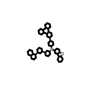 c1cc(-c2cccc(N(c3ccc(-c4ccc5c6ccccc6c6ccccc6c5c4)cc3)c3ccc4oc5ccccc5c4c3)c2)cc(-c2cccc3ccccc23)c1